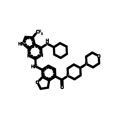 O=C(c1ccc(Nc2nc(NC3CCCCC3)c3c(C(F)(F)F)c[nH]c3n2)c2c1CCO2)N1CCC(N2CCOCC2)CC1